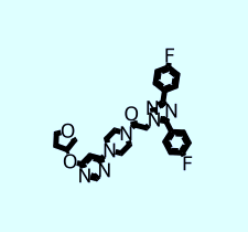 O=C(Cn1nc(-c2ccc(F)cc2)nc1-c1ccc(F)cc1)N1CCN(c2cc(O[C@H]3CCOC3)ncn2)CC1